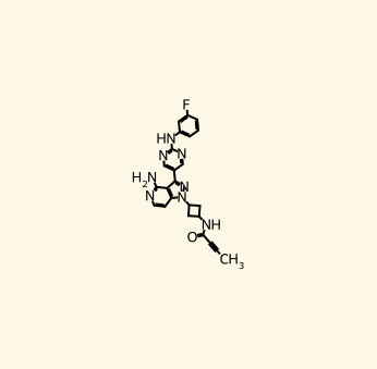 CC#CC(=O)NC1CC(n2nc(-c3cnc(Nc4cccc(F)c4)nc3)c3c(N)nccc32)C1